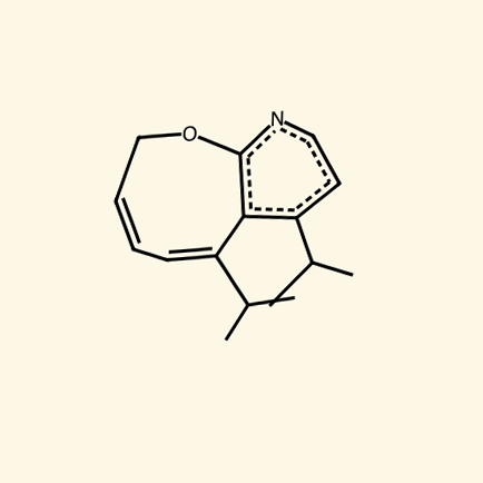 CC(C)/C1=C/C=C\COc2nccc(C(C)C)c21